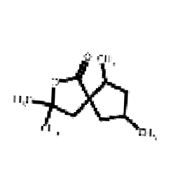 CC1CC(C)C2(C1)CC(C)(C)OC2=O